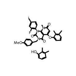 COc1ccc(Cn2c(=O)c3c(Oc4cccc(C)c4C)cc(=O)n(C)c3n(-c3ccc(I)cc3F)c2=O)cc1.Cc1cccc(O)c1C